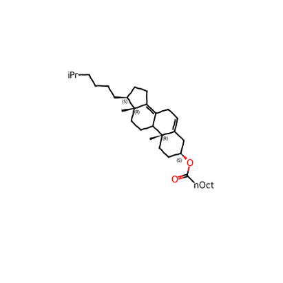 CCCCCCCCC(=O)O[C@H]1CC[C@@]2(C)C(=CCC3=C4CC[C@H](CCCCC(C)C)[C@@]4(C)CCC32)C1